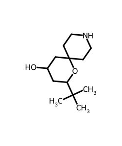 CC(C)(C)C1CC(O)CC2(CCNCC2)O1